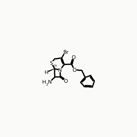 NC1C(=O)N2C(C(=O)OCc3ccccc3)=C(Br)CS[C@@H]12